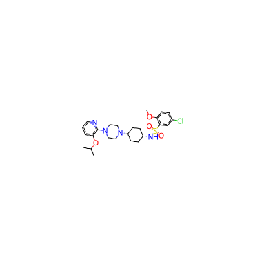 COc1ccc(Cl)cc1S(=O)(=O)N[C@H]1CC[C@@H](N2CCN(c3ncccc3OC(C)C)CC2)CC1